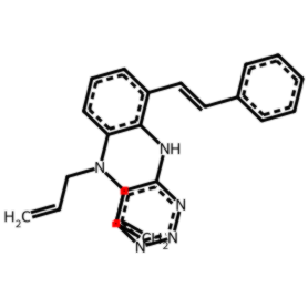 C=CCN(CC=C)c1cccc(C=Cc2ccccc2)c1Nc1ccnnn1